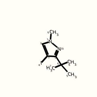 Cn1cc(I)c(C(C)(C)C)n1